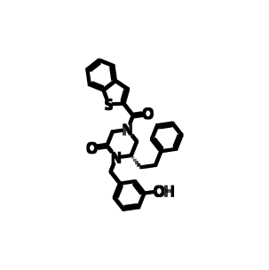 O=C(c1cc2ccccc2s1)N1CC(=O)N(Cc2cccc(O)c2)[C@@H](CCc2ccccc2)C1